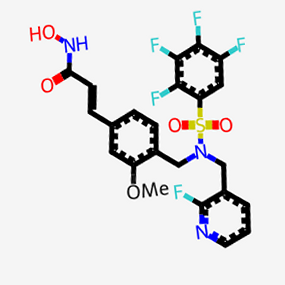 COc1cc(/C=C/C(=O)NO)ccc1CN(Cc1cccnc1F)S(=O)(=O)c1cc(F)c(F)c(F)c1F